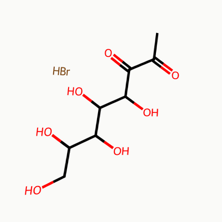 Br.CC(=O)C(=O)C(O)C(O)C(O)C(O)CO